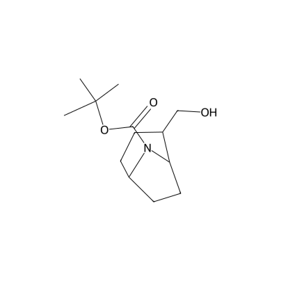 CC(C)(C)OC(=O)N1C2CCC(CO)C1CC2